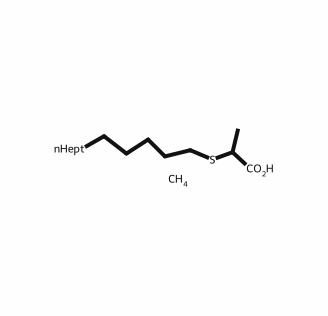 C.CCCCCCCCCCCCSC(C)C(=O)O